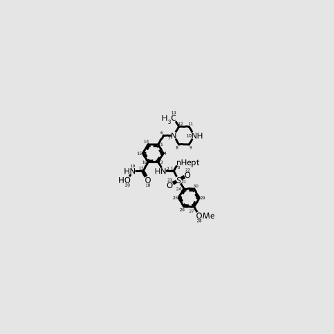 CCCCCCCC(Nc1cc(CN2CCNCC2C)ccc1C(=O)NO)S(=O)(=O)c1ccc(OC)cc1